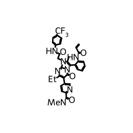 C=CC(=O)Nc1ccccc1-c1c(C)n(CC(=O)Nc2ccc(C(F)(F)F)cc2)c2nc(CC)c(-c3ccc(C(=O)NC)nc3)c(=O)n12